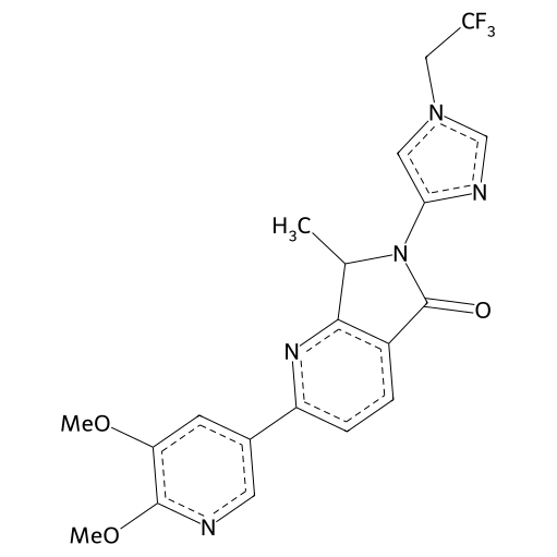 COc1cc(-c2ccc3c(n2)C(C)N(c2cn(CC(F)(F)F)cn2)C3=O)cnc1OC